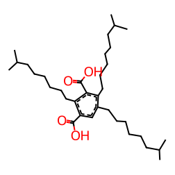 CC(C)CCCCCCc1cc(C(=O)O)c(CCCCCCC(C)C)c(C(=O)O)c1CCCCCCC(C)C